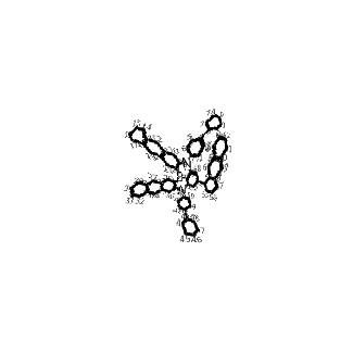 c1ccc(-c2ccc(N3c4cc5cc6ccccc6cc5cc4B4c5cc6cc7ccccc7cc6cc5N(c5ccc(-c6ccccc6)cc5)c5cc(-c6cccc7cc8ccccc8cc67)cc3c54)cc2)cc1